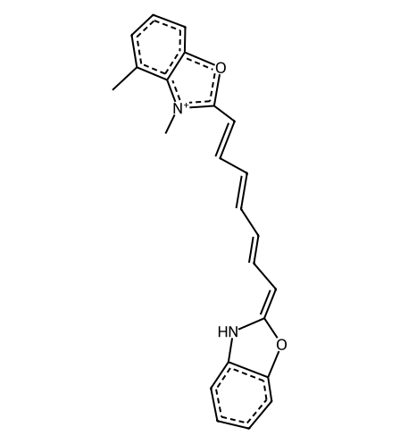 Cc1cccc2oc(C=CC=CC=CC=C3Nc4ccccc4O3)[n+](C)c12